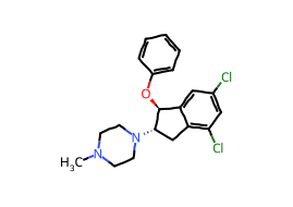 CN1CCN([C@H]2Cc3c(Cl)cc(Cl)cc3[C@@H]2Oc2ccccc2)CC1